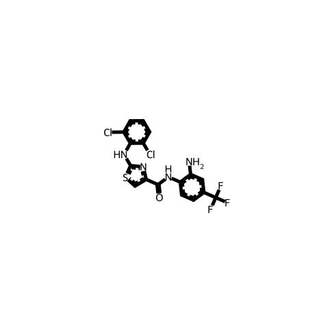 Nc1cc(C(F)(F)F)ccc1NC(=O)c1csc(Nc2c(Cl)cccc2Cl)n1